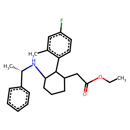 CCOC(=O)CC1CCCC(N[C@@H](C)c2ccccc2)C1c1ccc(F)cc1C